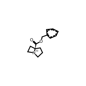 O=C(OCc1ccccc1)[C@@]12CCCN1CC2